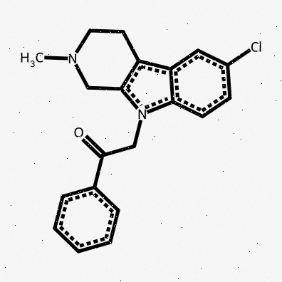 CN1CCc2c(n(CC(=O)c3ccccc3)c3ccc(Cl)cc23)C1